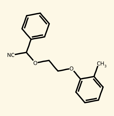 Cc1ccccc1OCCOC(C#N)c1ccccc1